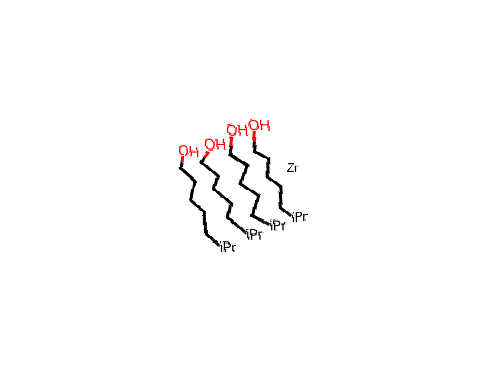 CC(C)CCCCCO.CC(C)CCCCCO.CC(C)CCCCCO.CC(C)CCCCCO.[Zr]